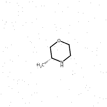 [CH2][C@@H]1COCCN1